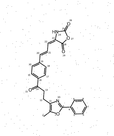 Cc1oc(-c2ccccc2)nc1CCC(=O)c1ccc(C=CC=C2NC(=O)OC2=O)cc1